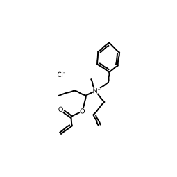 C=CC[N+](C)(Cc1ccccc1)C(CC)OC(=O)C=C.[Cl-]